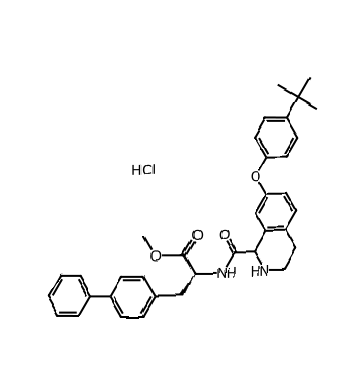 COC(=O)[C@H](Cc1ccc(-c2ccccc2)cc1)NC(=O)C1NCCc2ccc(Oc3ccc(C(C)(C)C)cc3)cc21.Cl